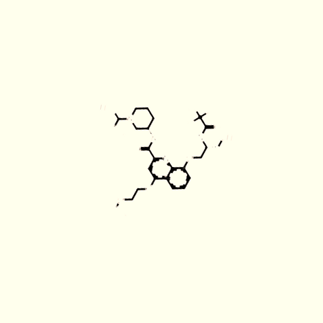 CC[C@H](COc1cccc2c(OCCOC)cc(C(=O)N[C@@H]3CCCN(C(C)C)C3)nc12)NC(=O)C(C)(C)C